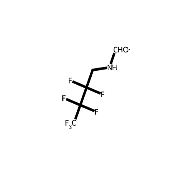 O=[C]NCC(F)(F)C(F)(F)C(F)(F)F